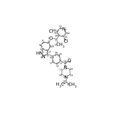 CC(Oc1ccc2[nH]nc(-c3ccc(C(=O)N4CCN(C(C)C)CC4)cc3)c2c1)c1c(Cl)cncc1Cl